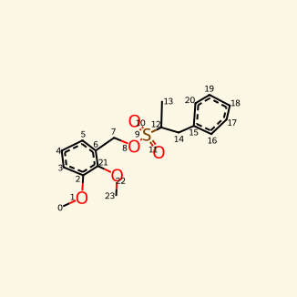 COc1cccc(COS(=O)(=O)C(C)Cc2ccccc2)c1OC